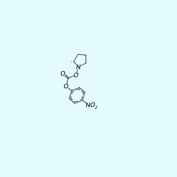 O=C(Oc1ccc([N+](=O)[O-])cc1)ON1[CH]CCC1